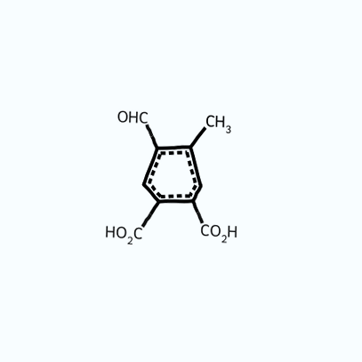 Cc1cc(C(=O)O)c(C(=O)O)cc1C=O